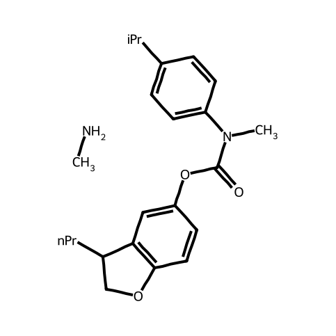 CCCC1COc2ccc(OC(=O)N(C)c3ccc(C(C)C)cc3)cc21.CN